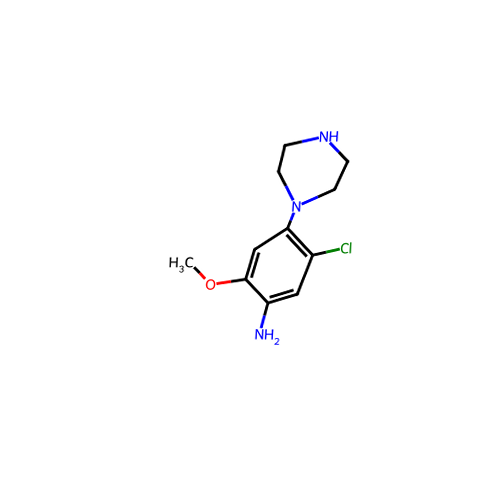 COc1cc(N2CCNCC2)c(Cl)cc1N